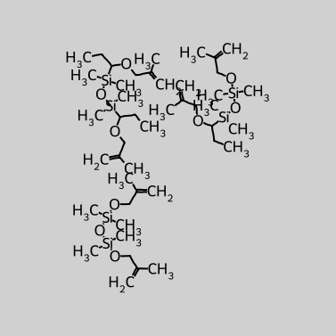 C=C(C)COC(CC)[Si](C)(C)O[Si](C)(C)C(CC)OCC(=C)C.C=C(C)COC(CC)[Si](C)(C)O[Si](C)(C)OCC(=C)C.C=C(C)CO[Si](C)(C)O[Si](C)(C)OCC(=C)C